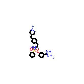 N=C(N)c1cccc(OC[C@@H](Cc2ccc(CC3CCNCC3)cc2)NS(=O)(=O)c2ccccc2)c1